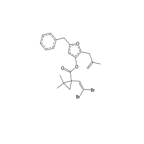 C=C(C)Cc1oc(Cc2ccccc2)cc1OC(=O)C1(C=C(Br)Br)CC1(C)C